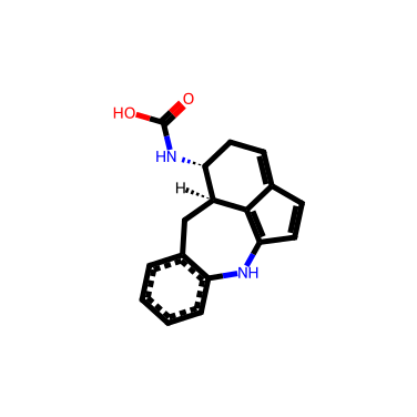 O=C(O)N[C@@H]1CC=C2C=CC3=C2[C@H]1Cc1ccccc1N3